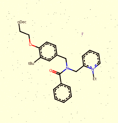 CCCCCCCCCCCCOc1ccc(CN(Cc2cccc[n+]2CC)C(=O)c2ccccc2)cc1C(C)(C)C.[I-]